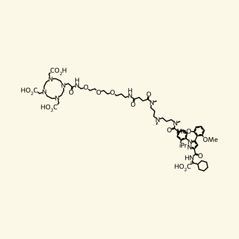 COc1cccc(OC)c1-c1cc(C(=O)N[C@H](C(=O)O)C2CCCCC2)nn1-c1ccc(C(=O)N(C)CCCN(C)CCCN(C)C(=O)CCC(=O)NCCCOCCOCCOCNC(=O)CN2CCN(CC(=O)O)CCN(CC(=O)O)CCN(CC(=O)O)CC2)cc1C(C)C